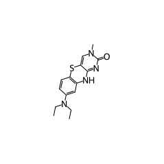 CCN(CC)c1ccc2c(c1)Nc1nc(=O)n(C)cc1S2